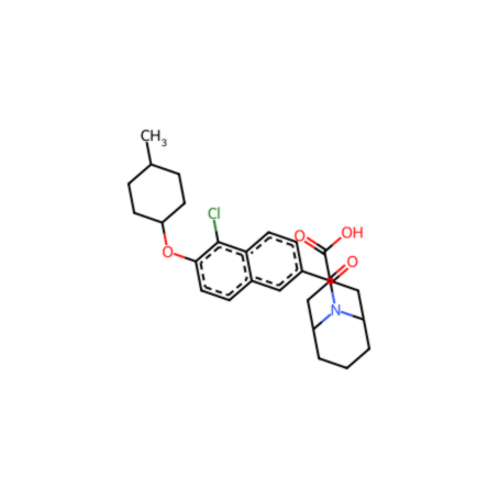 CC1CCC(Oc2ccc3cc(C(=O)N4C5CCCC4CC(C(=O)O)C5)ccc3c2Cl)CC1